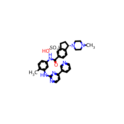 Cc1ccc(NC(=O)c2ccc3c(c2)CC[C@@H]3N2CCN(C)CC2)cc1Nc1nccc(-c2cccnc2)n1.O=S(=O)(O)O